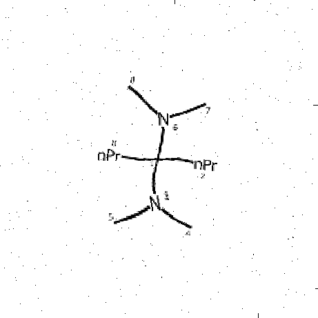 CCCC(CCC)(N(C)C)N(C)C